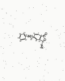 N#CC1OC(=O)c2ccc(CNc3ccccc3)cc21